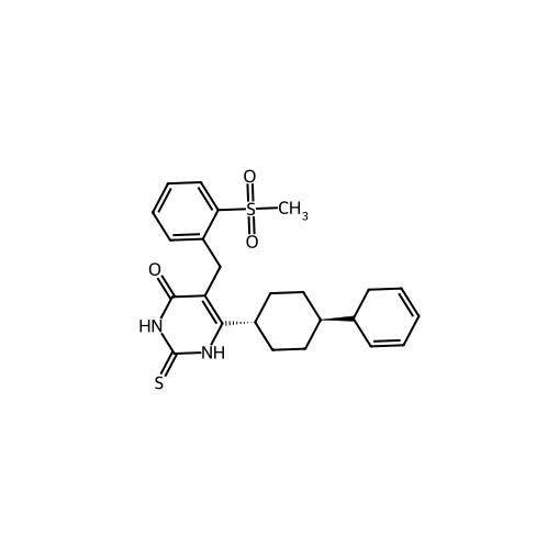 CS(=O)(=O)c1ccccc1Cc1c(=O)[nH]c(=S)[nH]c1[C@H]1CC[C@H](C2C=CC=CC2)CC1